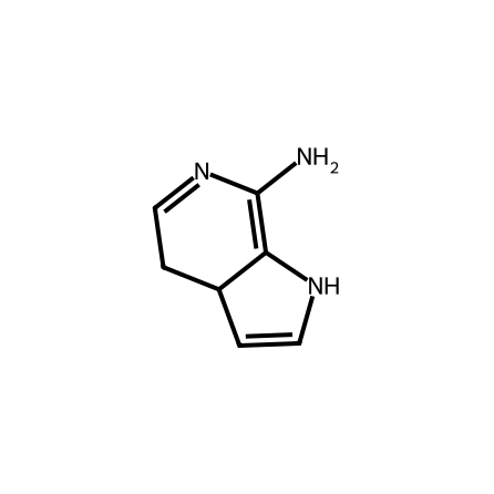 NC1=C2NC=CC2CC=N1